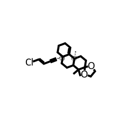 CC1(C)C2CC[C@@]3(C#CC=CCl)CCCC=C3[C@@]2(C)CCC12OCCO2